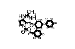 CC(=N)N[C@H]1CCN(C(=O)OCc2ccccc2)[C@H]1CO[C@H]1CC[C@@H](c2ccccc2)CC1